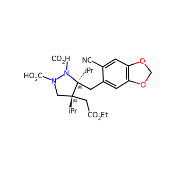 CCOC(=O)C[C@]1(C(C)C)CN(C(=O)O)N(C(=O)O)[C@]1(Cc1cc2c(cc1C#N)OCO2)C(C)C